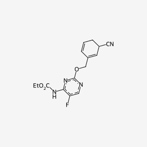 CCOC(=O)Nc1nc(OCC2=CC(C#N)CC=C2)ncc1F